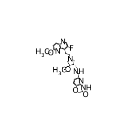 COc1ccc2ncc(F)c(CCN3C[C@H](CNCc4ccc5c(n4)NC(=O)CO5)[C@H](OC)C3)c2n1